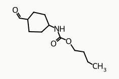 CCCCOC(=O)NC1CCC(C=O)CC1